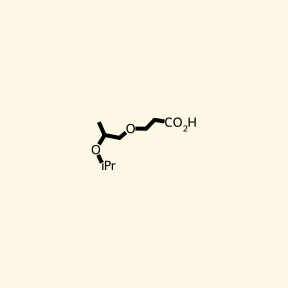 CC(C)OC(C)COCCC(=O)O